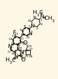 CN(C)C1CCN(c2ccc(-c3c(F)cc4ncc5c6c4c3OCC3(CCC3)n6c(=O)n5C)cn2)CC1